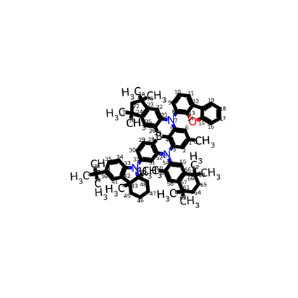 Cc1cc2c3c(c1)N(c1cccc4c1oc1ccccc14)c1cc4c(cc1B3c1ccc(N3c5ccc(C(C)(C)C)cc5C5(C)CCCCC35C)cc1N2c1cc2c(cc1C)C(C)(C)CCC2(C)C)C(C)(C)CC4(C)C